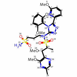 COc1cccc(-c2nnc(N(CCCS(N)(=O)=O)S(=O)(=O)[C@@H](C)[C@@H](OC)c3ncc(C)nc3OC)n2-c2c(OC)cccc2OC)n1